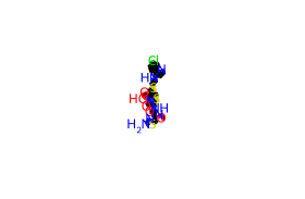 CON=C(C(=O)NC1C(=O)N2C(C(=O)O)=C(CSCCNc3ccnc4cc(Cl)ccc34)CSC12)c1csc(N)n1